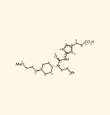 COCCO[C@H]1CC[C@H](N(CCC(C)C)C(=O)Nc2ncc(SCC(=O)O)s2)CC1